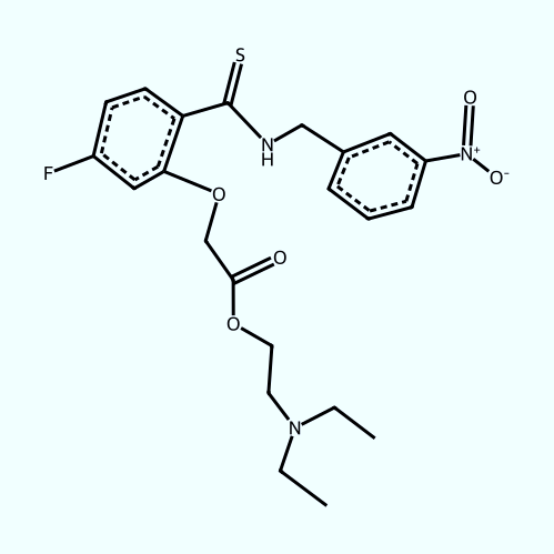 CCN(CC)CCOC(=O)COc1cc(F)ccc1C(=S)NCc1cccc([N+](=O)[O-])c1